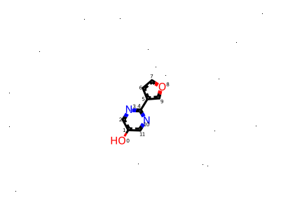 Oc1cnc(-c2ccoc2)nc1